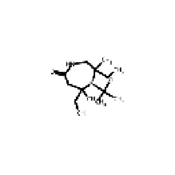 CCC1(C)CNC(=O)CC(C)(CC)N1C(C)(C)C